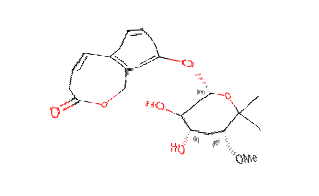 CO[C@@H]1[C@H](O)C(O)[C@H](Oc2ccc3ccc(=O)oc3c2)OC1(C)C